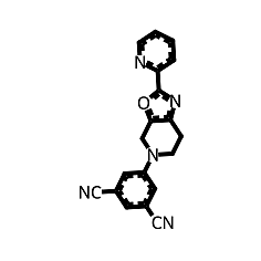 N#Cc1cc(C#N)cc(N2CCc3nc(-c4ccccn4)oc3C2)c1